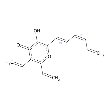 C=C/C=C\C=C\c1oc(C=C)c(C=C)c(=O)c1O